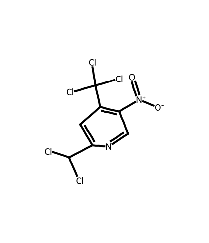 O=[N+]([O-])c1cnc(C(Cl)Cl)cc1C(Cl)(Cl)Cl